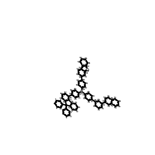 c1ccc(C2(c3ccccc3)c3ccccc3-c3c(-c4ccc(N(c5ccc(-c6cccc(-c7ccc8ccccc8c7)c6)cc5)c5ccc(-c6ccc7c(c6)oc6ccccc67)cc5)cc4)cccc32)cc1